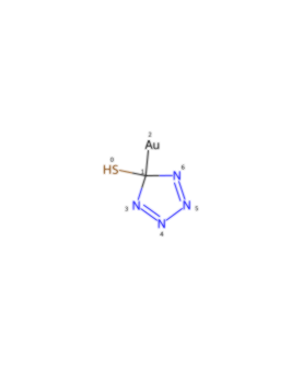 S[C]1([Au])N=NN=N1